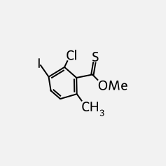 COC(=S)c1c(C)ccc(I)c1Cl